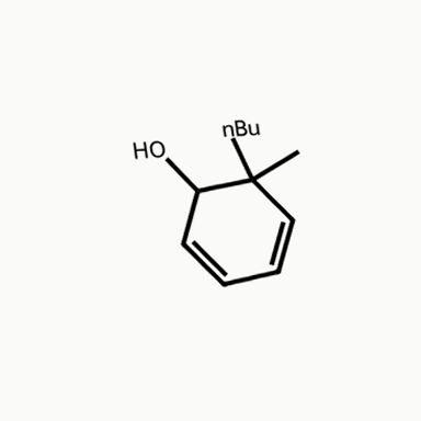 CCCCC1(C)C=CC=CC1O